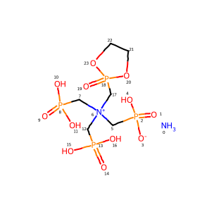 N.O=P([O-])(O)C[N+](CP(=O)(O)O)(CP(=O)(O)O)CP1(=O)OCCO1